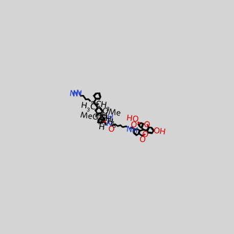 COc1cc(C(C)(C)[C@H](CCCCCN=[N+]=[N-])c2ccccc2)cc(OC)c1[C@H]1C=C(CNC(=O)CCCCCNC(=O)c2ccc3c(c2)C2(OC3=O)c3ccc(O)cc3Oc3cc(O)ccc32)[C@H]2C[C@@H]1C2(C)C